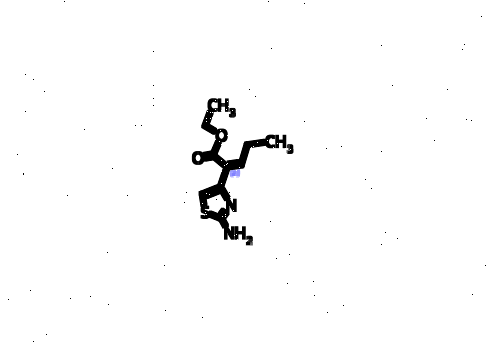 CC/C=C(\C(=O)OCC)c1csc(N)n1